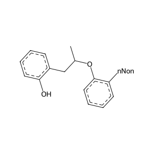 CCCCCCCCCc1ccccc1OC(C)Cc1ccccc1O